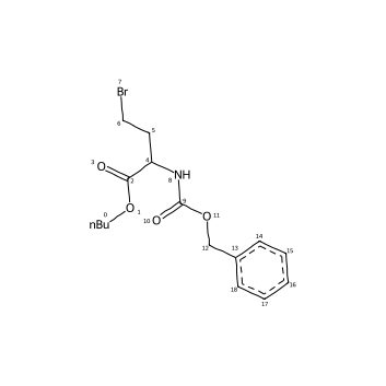 CCCCOC(=O)C(CCBr)NC(=O)OCc1ccccc1